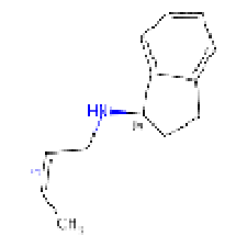 C/C=C\CN[C@@H]1CCc2ccccc21